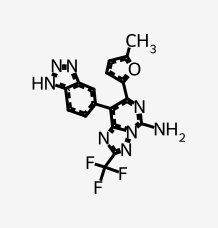 Cc1ccc(-c2nc(N)n3nc(C(F)(F)F)nc3c2-c2ccc3[nH]nnc3c2)o1